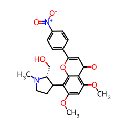 COc1cc(OC)c2c(=O)cc(-c3ccc([N+](=O)[O-])cc3)oc2c1C1CCN(C)[C@@H]1CO